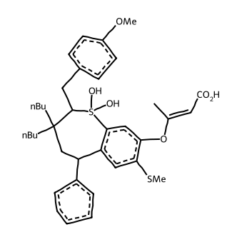 CCCCC1(CCCC)CC(c2ccccc2)c2cc(SC)c(O/C(C)=C/C(=O)O)cc2S(O)(O)C1Cc1ccc(OC)cc1